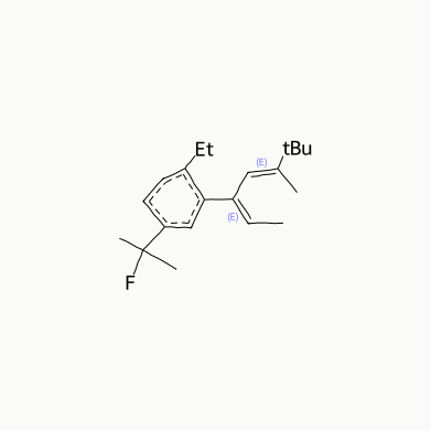 C/C=C(\C=C(/C)C(C)(C)C)c1cc(C(C)(C)F)ccc1CC